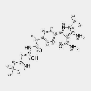 CC(C(=O)N/C(O)=C/C(=N)CC(C)(C)C)c1ccc(-c2nn(C(C)C)c(N)c2C(N)=O)nc1